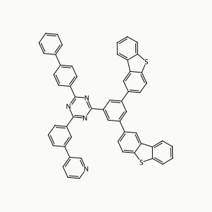 c1ccc(-c2ccc(-c3nc(-c4cccc(-c5cccnc5)c4)nc(-c4cc(-c5ccc6sc7ccccc7c6c5)cc(-c5ccc6sc7ccccc7c6c5)c4)n3)cc2)cc1